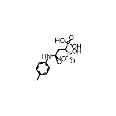 [CH2]c1ccc(NC(=O)CC(P(=O)(O)O)P(=O)(O)O)cc1